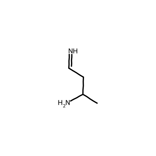 CC(N)CC=N